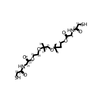 CC(C)(CCOC(=O)CNC(=O)CS)OCC(C)(C)OCCOC(=O)CNC(=O)CS